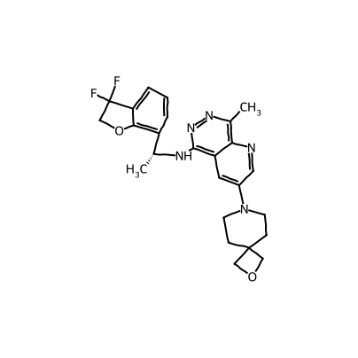 Cc1nnc(N[C@H](C)c2cccc3c2OCC3(F)F)c2cc(N3CCC4(CC3)COC4)cnc12